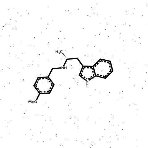 COc1ccc(CN[C@H](C)Cc2c[nH]c3ccccc23)cc1